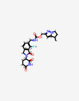 CC1CCn2nc(COC(=O)NCc3ccc4c(c3F)C(=O)N(C3CCC(=O)NC3=O)C4)cc21